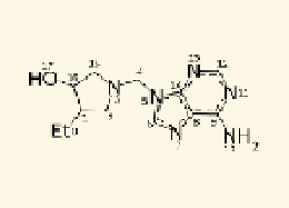 CCC1CN(Cn2cnc3c(N)ncnc32)CC1O